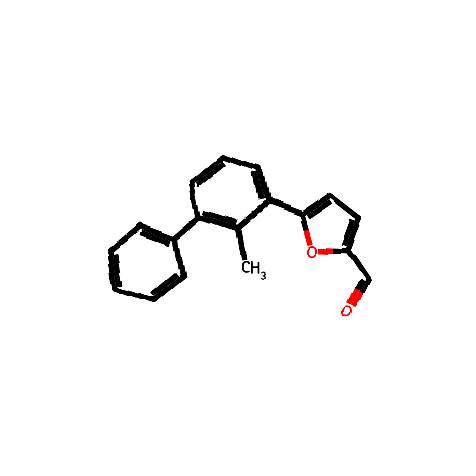 Cc1c(-c2ccccc2)cccc1-c1ccc(C=O)o1